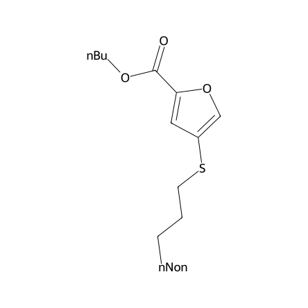 CCCCCCCCCCCCSc1coc(C(=O)OCCCC)c1